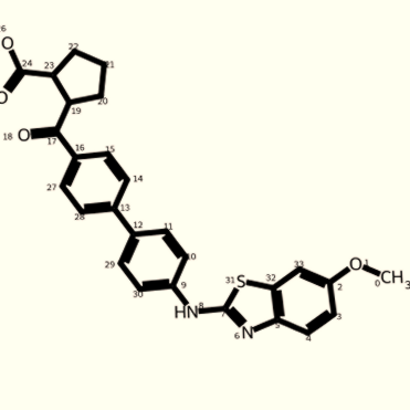 COc1ccc2nc(Nc3ccc(-c4ccc(C(=O)C5CCCC5C(=O)O)cc4)cc3)sc2c1